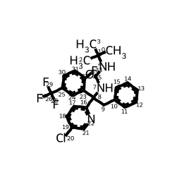 CC(C)(C)NC(=O)NC(Cc1ccccc1)(c1ccc(Cl)cn1)c1cc(C(F)(F)F)ccc1F